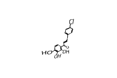 O=C(C=Cc1ccc(Cl)cc1)c1ccc(O)c(O)c1O